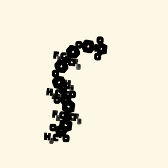 CN1C(=O)c2ccc(C(c3ccc4c(c3)C(=O)N(C(C)(C)c3ccc(Oc5ccc(C(c6ccc(Oc7ccc(N8C(=O)C=CC8=O)cc7)cc6)(C(F)(F)F)C(F)(F)F)cc5)cc3)C4=O)(C(F)(F)F)C(F)(F)F)cc2C1=O